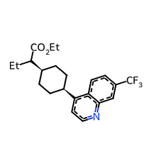 CCOC(=O)C(CC)[C@H]1CC[C@@H](c2ccnc3cc(C(F)(F)F)ccc32)CC1